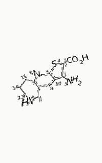 Nc1c(C(=O)O)sc2nc3c(cc12)CNCCC3